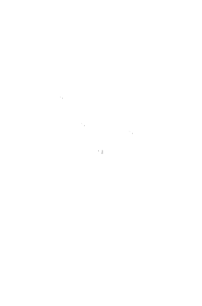 CCOCCNc1nc(C#N)ccc1[N+](=O)[O-]